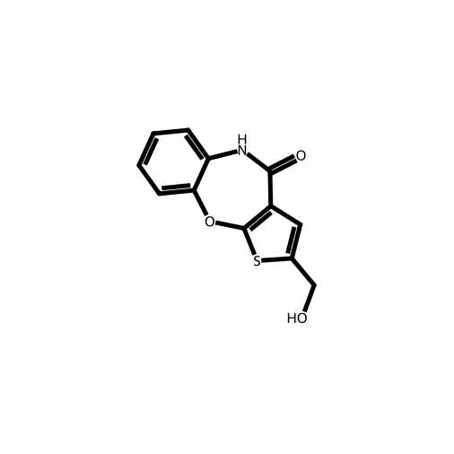 O=C1Nc2ccccc2Oc2sc(CO)cc21